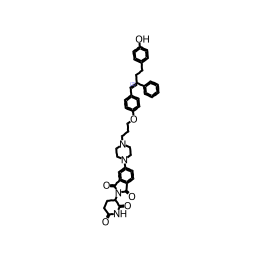 O=C1CCC(N2C(=O)c3ccc(N4CCN(CCCOc5ccc(/C=C(/CCc6ccc(O)cc6)c6ccccc6)cc5)CC4)cc3C2=O)C(=O)N1